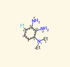 CCN(CC)c1ccc(F)c(N)c1N